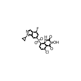 O=c1[nH]c2c(S(=O)(=O)c3cc(F)c4cnn(C5CC5)c4c3)ccc(Cl)c2c(=O)n1O